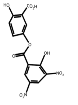 O=C(O)c1cc(OC(=O)c2cc([N+](=O)[O-])cc([N+](=O)[O-])c2O)ccc1O